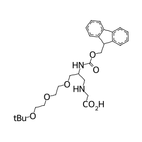 CC(C)(C)OCCOCCOCC(CNCC(=O)O)NC(=O)OCC1c2ccccc2-c2ccccc21